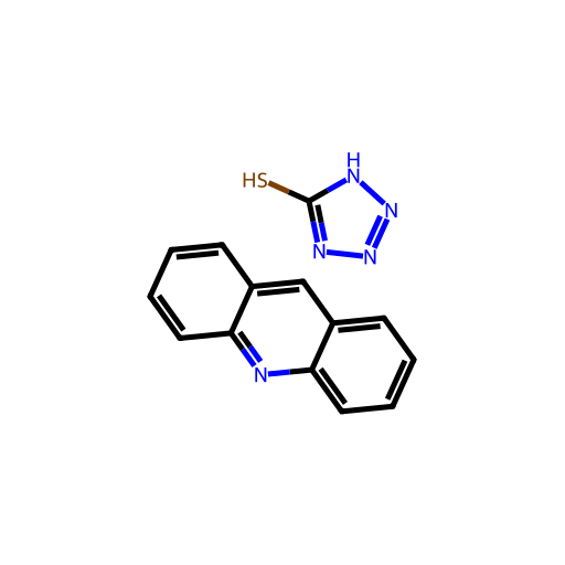 Sc1nnn[nH]1.c1ccc2nc3ccccc3cc2c1